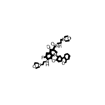 O=C(NCCCN1CCOCC1)c1cn2c3c(c(NCCN4CCOCC4)c(F)cc3c1=O)Oc1cc3c(cc1-2)C1=C(C=CCC1)CO3